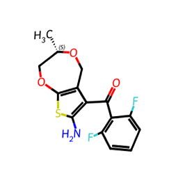 C[C@H]1COc2sc(N)c(C(=O)c3c(F)cccc3F)c2CO1